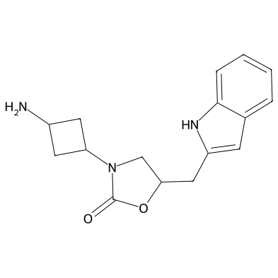 NC1CC(N2CC(Cc3cc4ccccc4[nH]3)OC2=O)C1